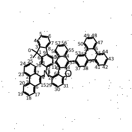 CC1(C)c2ccccc2-c2ccc(N(c3cc4ccccc4c4ccccc34)c3cccc4oc5c(-c6ccc7c8ccccc8c8ccccc8c7c6)c6ccccc6cc5c34)cc21